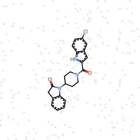 O=C(c1cc2cc(Cl)ccc2[nH]1)N1CCC(N2C(=O)Cc3ccccc32)CC1